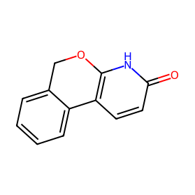 O=c1ccc2c([nH]1)OCc1ccccc1-2